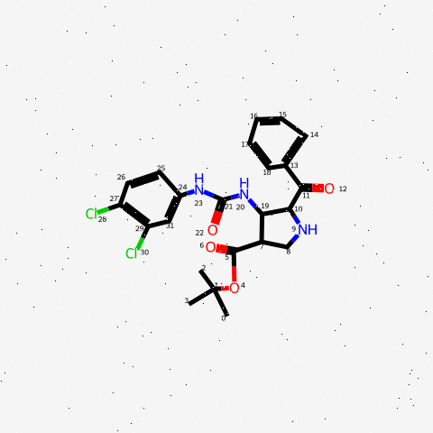 CC(C)(C)OC(=O)C1CNC(C(=O)c2ccccc2)C1NC(=O)Nc1ccc(Cl)c(Cl)c1